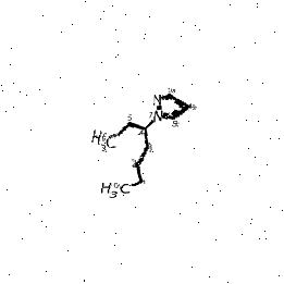 CCCCC(CC)n1cccn1